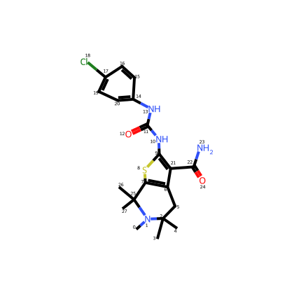 CN1C(C)(C)Cc2c(sc(NC(=O)Nc3ccc(Cl)cc3)c2C(N)=O)C1(C)C